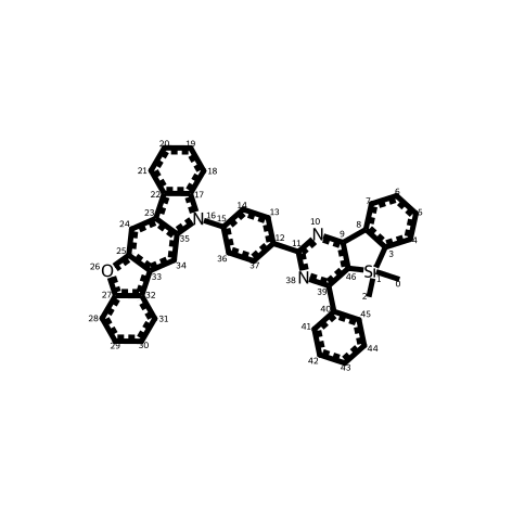 C[Si]1(C)c2ccccc2-c2nc(-c3ccc(-n4c5ccccc5c5cc6oc7ccccc7c6cc54)cc3)nc(-c3ccccc3)c21